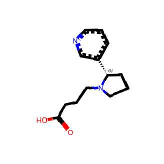 O=C(O)CCCN1CCC[C@H]1c1cccnc1